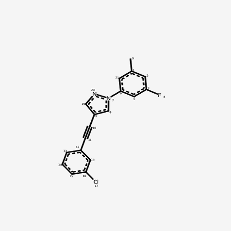 Cc1cc(F)cc(-n2cc(C#Cc3cccc(Cl)c3)cn2)c1